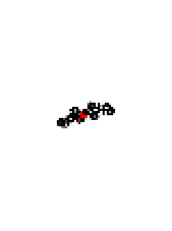 C[Si]1(C)c2ccccc2-c2cc3c(cc21)C1(c2c(-c4ccc(-c5cccc(-c6nc7c(ccc8ccccc87)nc6-c6ccccc6)c5)cc4)cccc2-3)C2CC3CC(C2)CC1C3